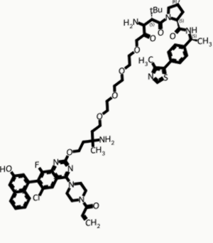 C=CC(=O)N1CCN(c2nc(OCCC(C)(N)CCOCCOCCOCCOCC(=O)C(N)[C@@H](C(=O)N3C[C@H](O)C[C@H]3C(=O)N[C@@H](C)c3ccc(-c4scnc4C)cc3)C(C)(C)C)nc3c(F)c(-c4cc(O)cc5ccccc45)c(Cl)cc23)CC1